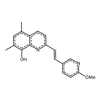 COc1ccc(C=Cc2ccc3c(C)cc(C)c(O)c3n2)cn1